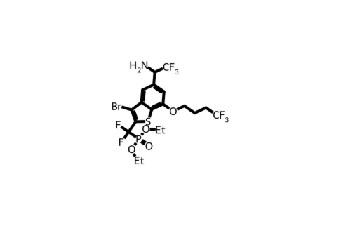 CCOP(=O)(OCC)C(F)(F)c1sc2c(OCCCC(F)(F)F)cc(C(N)C(F)(F)F)cc2c1Br